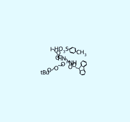 CC(C)(C)OCCOCCOC[C@H](CNCC(=O)OCCI)NC(=O)OCC1c2ccccc2-c2ccccc21.Cc1ccc(S(=O)(=O)O)cc1